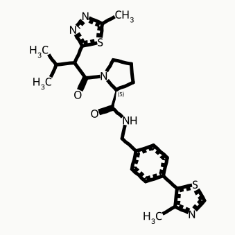 Cc1nnc(C(C(=O)N2CCC[C@H]2C(=O)NCc2ccc(-c3scnc3C)cc2)C(C)C)s1